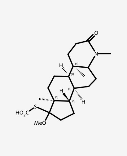 COC1(SC(=O)O)CC[C@H]2[C@@H]3CCC4N(C)C(=O)CC[C@]4(C)[C@@H]3CC[C@@]21C